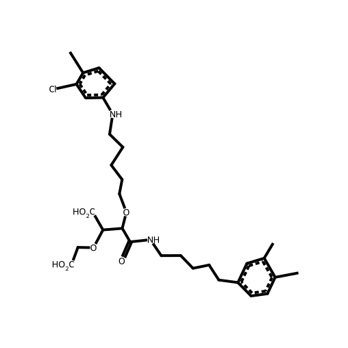 Cc1ccc(CCCCCNC(=O)C(OCCCCCNc2ccc(C)c(Cl)c2)C(OCC(=O)O)C(=O)O)cc1C